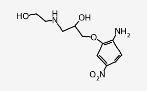 Nc1ccc([N+](=O)[O-])cc1OCC(O)CNCCO